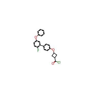 O=C(Cl)C1CC(Oc2ccc(-c3cc(Oc4ccccc4)ccc3F)cc2)C1